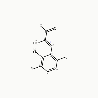 CC(=O)/C(O)=C/c1c(C)ccc(C)c1Cl